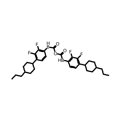 CCCC1CCC(c2ccc(BC(=O)OC(=O)Bc3ccc(C4CCC(CCC)CC4)c(F)c3F)c(F)c2F)CC1